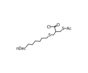 CCCCCCCCCCCCCCCCSCC(CSC(C)=O)C(=O)Cl